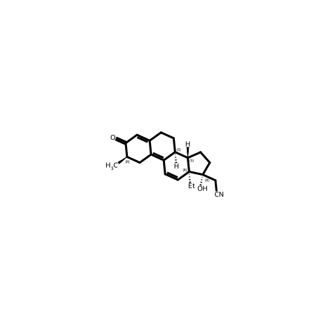 CC[C@]12C=CC3=C4C[C@@H](C)C(=O)C=C4CC[C@H]3[C@@H]1CC[C@@]2(O)CC#N